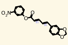 O=C(/C=C/C=C/c1ccc2c(c1)OCO2)Oc1cccc([N+](=O)[O-])c1